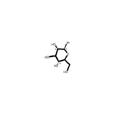 CC(C)[C@H]1OC(CO)[C@H](O)C(O)[C@H]1O